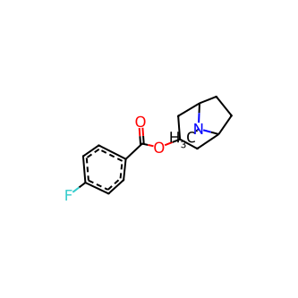 CN1C2CCC1CC(OC(=O)c1ccc(F)cc1)C2